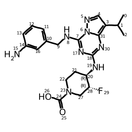 CC(C)c1cnn2c(NCc3cccc(N)c3)nc(N[C@@H]3CCN(C(=O)O)C[C@H]3F)nc12